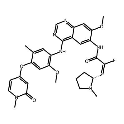 COc1cc2ncnc(Nc3cc(C)c(Oc4ccn(C)c(=O)c4)cc3OC)c2cc1NC(=O)/C(F)=C\[C@H]1CCCN1C